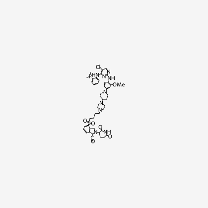 COc1cc(N2CCC(N3CCN(CCCCS(=O)(=O)c4cccc5c4CN(C4CCC(=O)NC4=O)C5=C=O)CC3)CC2)ccc1Nc1ncc(Cl)c(Nc2ccccc2P(C)C)n1